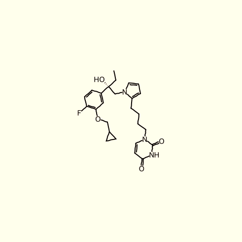 CC[C@@](O)(Cn1cccc1CCCCn1ccc(=O)[nH]c1=O)c1ccc(F)c(OCC2CC2)c1